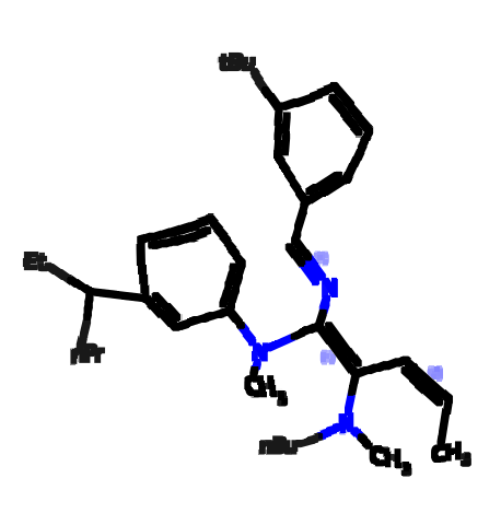 C\C=C/C(=C(\N=C\c1cccc(C(C)(C)C)c1)N(C)c1cccc(C(CC)CCC)c1)N(C)CCCC